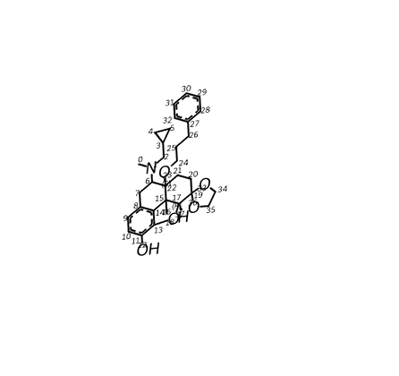 CN(CC1CC1)C1Cc2ccc(O)c3c2C2(C)[C@@H](O3)C3(CC[C@@]12OCCCc1ccccc1)OCCO3